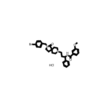 COc1cccc(C(=O)NC(CCN2CCC3(CC2)CCN(Cc2ccc(Br)cc2)C3=O)c2ccccc2)c1.Cl